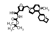 C[n+]1ccc2c(ccn2Cc2cc(C(=N)NC(=O)OC(C)(C)C)co2)c1C1=CN2CCC2CC1